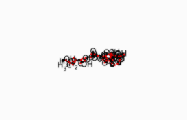 C=C1/C(=C\C=C2/CCC[C@@]3(C)C2CCC3[C@@H](C)/C=C/C(O)C2CC2)C[C@@H](OC(=O)CSC2CC(=O)N(CCCC(=O)OC3CC4OCC4(OC(C)=O)C4C(OC(=O)c5ccccc5)C5(O)CC(OC(=O)C(O)C(NC(=O)c6ccccc6)c6ccccc6)C(C)=C(C(OC(C)=O)C(=O)C34C)C5(C)C)C2=O)C[C@@H]1O